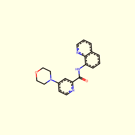 O=C(Nc1cccc2cccnc12)c1cc(N2CCOCC2)ccn1